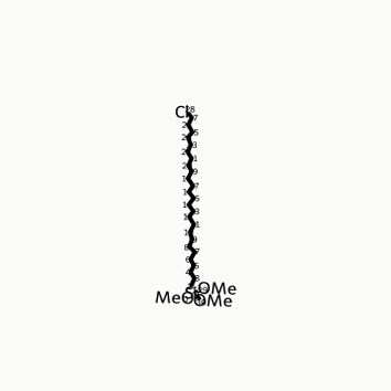 CO[Si](CCCCCCCCCCCCCCCCCCCCCCCCCCCl)(OC)OC